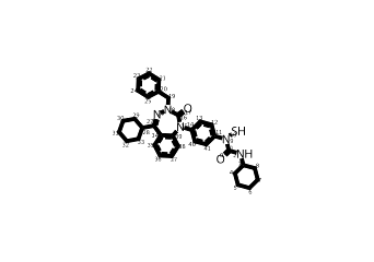 O=C(NC1CCCCC1)N(S)c1ccc(N2C(=O)N(Cc3ccccc3)N=C(C3CCCCC3)c3ccccc32)cc1